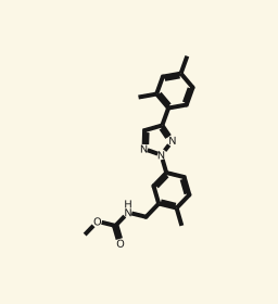 COC(=O)NCc1cc(-n2ncc(-c3ccc(C)cc3C)n2)ccc1C